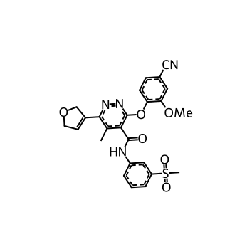 COc1cc(C#N)ccc1Oc1nnc(C2=CCOC2)c(C)c1C(=O)Nc1cccc(S(C)(=O)=O)c1